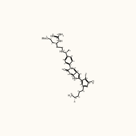 COCC[C@H](CCN[C@@H](C)c1ccc(-n2cc3cc(-c4cc(CCC[C@H](C)N)cc(Cl)c4F)[nH]c3nc2=O)cc1)NC(=N)N